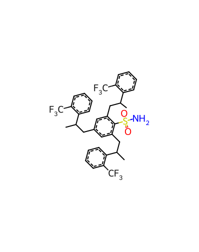 CC(Cc1cc(CC(C)c2ccccc2C(F)(F)F)c(S(N)(=O)=O)c(CC(C)c2ccccc2C(F)(F)F)c1)c1ccccc1C(F)(F)F